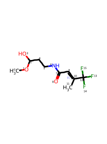 COC(O)CCNC(=O)/C=C(\C)C(F)(F)F